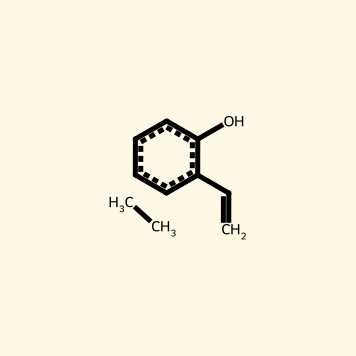 C=Cc1ccccc1O.CC